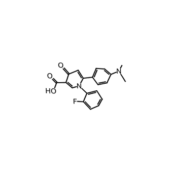 CN(C)c1ccc(-c2cc(=O)c(C(=O)O)cn2-c2ccccc2F)cc1